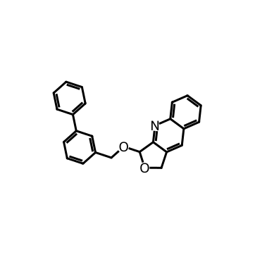 c1ccc(-c2cccc(COC3OCc4cc5ccccc5nc43)c2)cc1